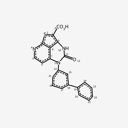 O=C(O)c1sc2nccc3c2c1NC(=O)N3c1cccc(-c2ccccc2)c1